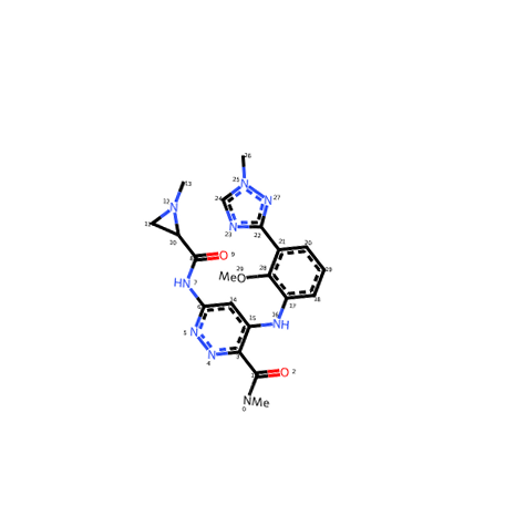 CNC(=O)c1nnc(NC(=O)C2CN2C)cc1Nc1cccc(-c2ncn(C)n2)c1OC